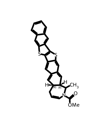 COC(=O)N1C=CC[C@@H]2C=c3cc4c(cc3=C[C@@H]2C1C)sc1c2cc3ccccc3cc2sc41